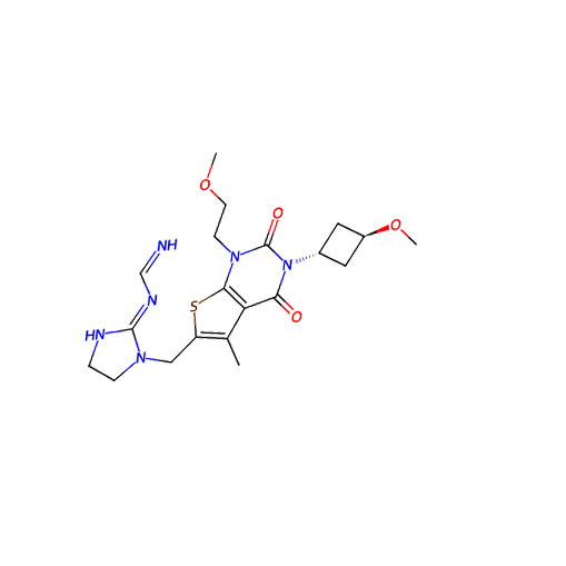 COCCn1c(=O)n([C@H]2C[C@H](OC)C2)c(=O)c2c(C)c(CN3CCN/C3=N\C=N)sc21